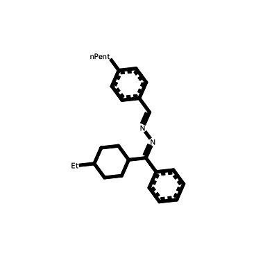 CCCCCc1ccc(C=NN=C(c2ccccc2)C2CCC(CC)CC2)cc1